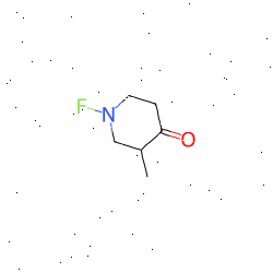 CC1CN(F)CCC1=O